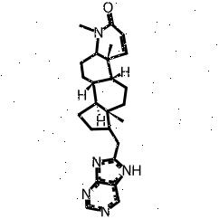 CN1C(=O)C=C[C@@]2(C)C1CC[C@@H]1[C@H]2CC[C@]2(C)C(Cc3nc4ncncc4[nH]3)CC[C@@H]12